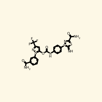 N=c1sc(C(N)=O)nn1-c1ccc(NC(=O)Oc2cc(C(F)(F)F)nn2-c2cccc(C(N)=O)c2)cc1